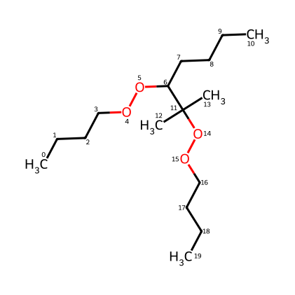 CCCCOOC(CCCC)C(C)(C)OOCCCC